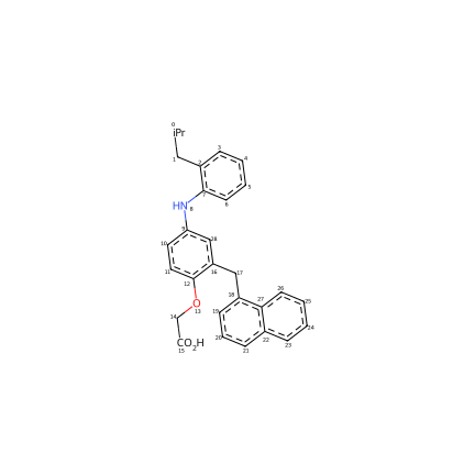 CC(C)Cc1ccccc1Nc1ccc(OCC(=O)O)c(Cc2cccc3ccccc23)c1